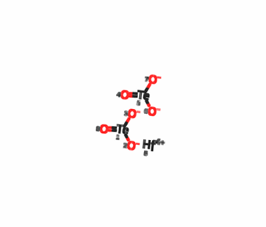 O=[Te]([O-])[O-].O=[Te]([O-])[O-].[Hf+4]